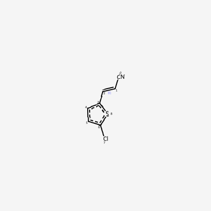 N#C/C=C/c1ccc(Cl)s1